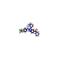 CC1(C)CCC[C@H](n2c(Nc3ccc(OC(F)(F)F)cc3)nc3ccc(C(=O)N4CCCCC4)cc32)C1